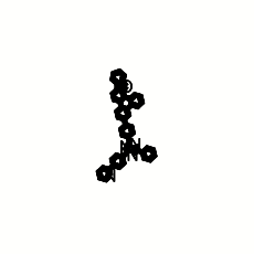 c1ccc(-c2nc(-c3ccc(-c4ccc5c(c4)c4ccccc4c4c5ccc5c6ccccc6oc54)cc3)nc(-c3ccc(-c4ccccn4)cc3)n2)cc1